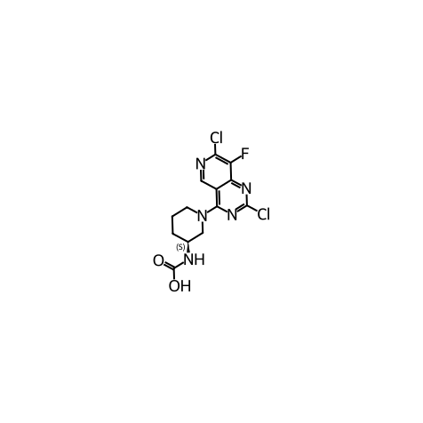 O=C(O)N[C@H]1CCCN(c2nc(Cl)nc3c(F)c(Cl)ncc23)C1